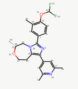 Cc1cc(-c2nc(-c3ccc(OC(F)F)c(C)c3)n3c2CCO[C@H](C)C3)cc(C)n1